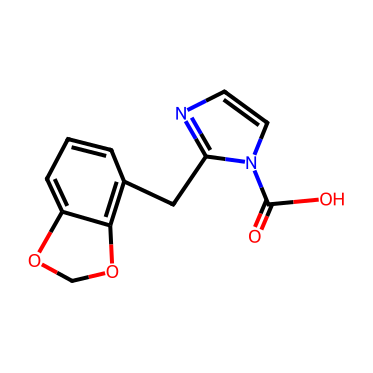 O=C(O)n1ccnc1Cc1cccc2c1OCO2